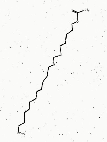 CCCCCCCCCCCCCCCCCCCCCCCCCCCCCOC(N)=O